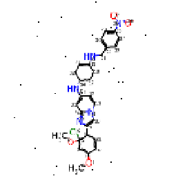 COC1=CC(Cl)(OC)C(c2cn3ccc(N[C@H]4CC[C@@H](NCc5ccc([N+](=O)[O-])cc5)CC4)cc3n2)C=C1